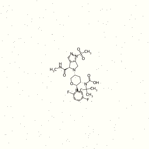 CNC(=O)[C@H]1c2cnn(S(C)(=O)=O)c2CN1[C@H]1CO[C@H](c2cc(F)ccc2F)[C@@H](N(C(=O)O)C(C)(C)C)C1